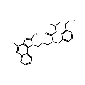 CCCCc1nc2c(N)nc3ccccc3c2n1CCCN(Cc1cccc(CC(=O)O)c1)C(=O)CN(C)C